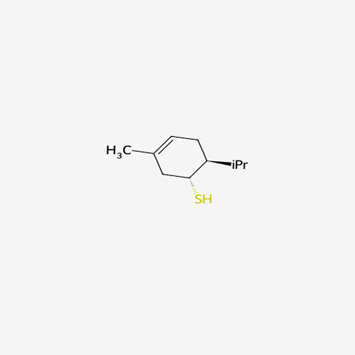 CC1=CC[C@@H](C(C)C)[C@H](S)C1